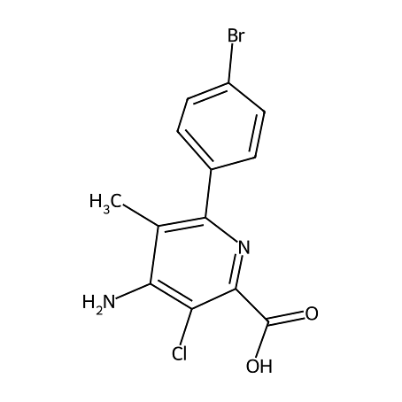 Cc1c(-c2ccc(Br)cc2)nc(C(=O)O)c(Cl)c1N